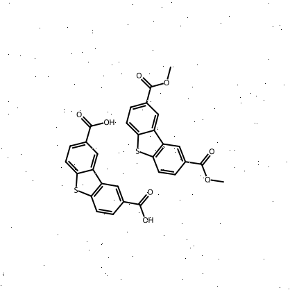 COC(=O)c1ccc2sc3ccc(C(=O)OC)cc3c2c1.O=C(O)c1ccc2sc3ccc(C(=O)O)cc3c2c1